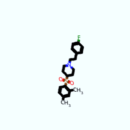 Cc1ccc(S(=O)(=O)C2CCN(CCc3ccc(F)cc3)CC2)c(C)c1